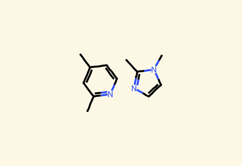 Cc1ccnc(C)c1.Cc1nccn1C